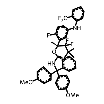 COc1ccc(C(NC2=NC(C)(C)C(F)(F)[C@@](C)(c3cc(Nc4ccccc4C(F)(F)F)ccc3F)O2)(c2ccccc2)c2ccc(OC)cc2)cc1